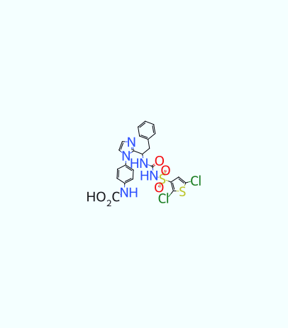 O=C(O)Nc1ccc(-n2ccnc2C(Cc2ccccc2)NC(=O)NS(=O)(=O)c2cc(Cl)sc2Cl)cc1